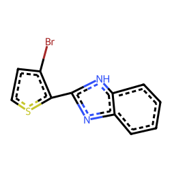 Brc1ccsc1-c1nc2ccccc2[nH]1